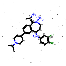 C/C(N)=C1\c2ccc(C3=CCN(C(C)C)CC3)cc2C(Nc2ccc(F)c(Cl)c2)CCN1N